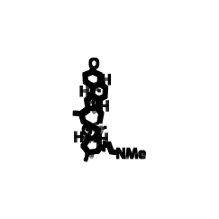 CNCCN1C[C@@H](C)C[C@H]2O[C@]3(CC[C@@H]4C(=C(C)C3)C[C@H]3[C@H]4CC[C@@H]4CC(=O)CC[C@@]43C)[C@H](C)[C@@H]21